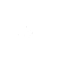 O=CCOP(=O)(CC(F)(F)F)OCC(F)(F)F